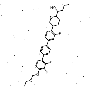 CCCC(O)C1CCC(c2ccc(-c3ccc(-c4ccc(OCOCC)c(F)c4F)cc3)cc2F)CO1